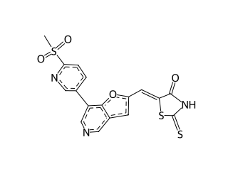 CS(=O)(=O)c1ccc(-c2cncc3cc(/C=C4\SC(=S)NC4=O)oc23)cn1